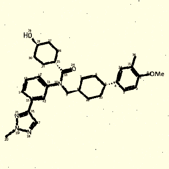 COc1ccc([C@H]2CC[C@H](CN(c3cccc(-c4cnn(C)n4)c3)C(=O)[C@H]3CC[C@H](O)CC3)CC2)cc1C